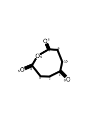 O=C1CCC(=O)OC(=O)CC1